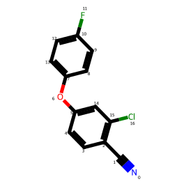 N#Cc1ccc(Oc2ccc(F)cc2)cc1Cl